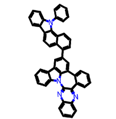 c1ccc(-n2c3ccccc3c3ccc4c(-c5cc6c7c(c5)c5ccccc5n7-c5nc7ccccc7nc5-c5ccccc5-6)cccc4c32)cc1